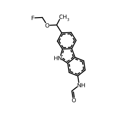 CC(OCF)c1ccc2c(c1)[nH]c1cc(NC=O)ccc12